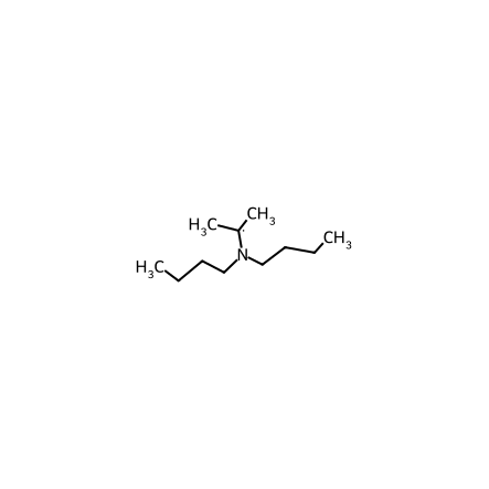 CCCCN(CCCC)[C](C)C